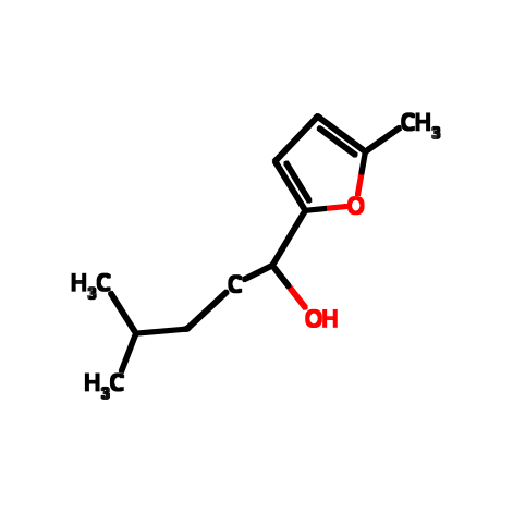 Cc1ccc(C(O)CCC(C)C)o1